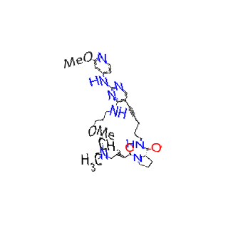 COCCCNc1nc(Nc2ccnc(OC)c2)ncc1C#CCCCNC(=O)[C@@H]1CCCN1C(=O)C=CCN(C)C